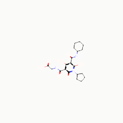 O=C(O)CNC(=O)c1c(O)c(C(=O)NC2CCCCC2)c(O)n(C2CCCC2)c1=O